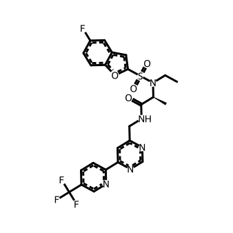 CCN([C@@H](C)C(=O)NCc1cc(-c2ccc(C(F)(F)F)cn2)ncn1)S(=O)(=O)c1cc2cc(F)ccc2o1